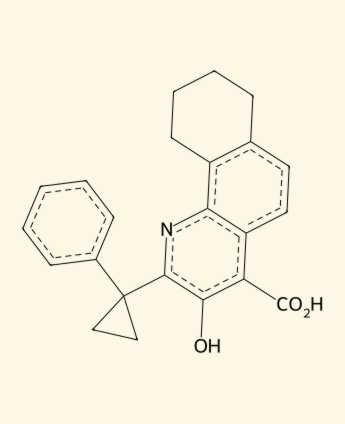 O=C(O)c1c(O)c(C2(c3ccccc3)CC2)nc2c3c(ccc12)CCCC3